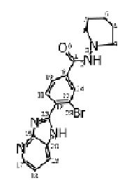 O=C(NN1CCCCC1)c1ccc(-c2nc3ncccc3[nH]2)c(Br)c1